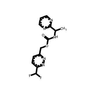 CC(NC(=O)OCc1ccc(C(F)F)nn1)c1ncccn1